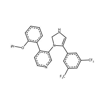 CC(C)Oc1ccccc1-c1ccncc1N1CNC=C1c1cc(C(F)(F)F)cc(C(F)(F)F)c1